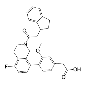 COc1cc(CC(=O)O)ccc1-c1ccc(F)c2c1CN(C(=O)CC1CCc3ccccc31)CC2